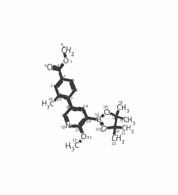 COC(=O)c1ccc(-c2cnc(OC)c(B3OC(C)(C)C(C)(C)O3)c2)c(C)c1